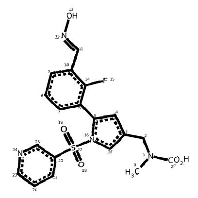 CN(Cc1cc(-c2cccc(C=NO)c2F)n(S(=O)(=O)c2cccnc2)c1)C(=O)O